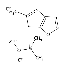 CC1=Cc2ccoc2C1.C[SiH](C)[O][Zr+2].[Cl-].[Cl-]